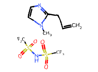 C=CCc1nccn1C.O=S(=O)(NS(=O)(=O)C(F)(F)F)C(F)(F)F